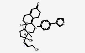 C[C@]12C[C@H](c3ccc(-c4ccsc4)cc3)C3=C4CCC(=O)C=C4CC[C@H]3[C@@H]1CC[C@@]2(O)/C=C\CO